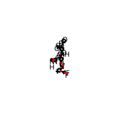 CC1(C)CCC(CN2CCN(c3ccc(C(=O)NS(=O)(=O)c4ccc(OCC5(F)CCOCC5)c([N+](=O)[O-])c4)c(Oc4cnc5[nH]ccc5c4)c3)CC2)=C(C23CC(C(F)F)(C2)C3)C1